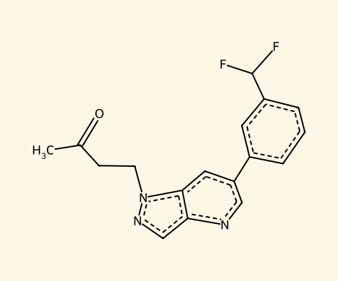 CC(=O)CCn1ncc2ncc(-c3cccc(C(F)F)c3)cc21